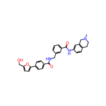 CN1CCc2ccc(NC(=O)c3cccc(CNC(=O)c4ccc(-c5ccc(CO)o5)cc4)c3)cc2C1